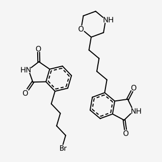 O=C1NC(=O)c2c(CCCCBr)cccc21.O=C1NC(=O)c2c(CCCCC3CNCCO3)cccc21